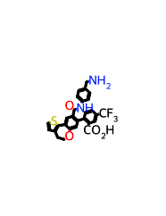 NCc1ccc(NC(=O)c2cc3c(cc2-c2ccc(C(F)(F)F)cc2C(=O)O)OCCc2ccsc2-3)cc1